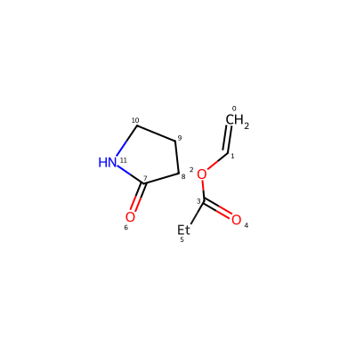 C=COC(=O)CC.O=C1CCCN1